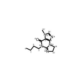 CCCCN1C(=O)c2c(ncn2C)N2CCN=C12